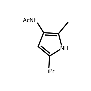 CC(=O)Nc1cc(C(C)C)[nH]c1C